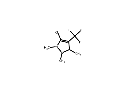 CC1C(C(F)(F)F)=C(Cl)N(C)N1C